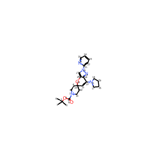 CC(C)(C)OC(=O)N1CCC2(C=C(N3CCCC3)c3nn(-c4ccccn4)cc3O2)CC1